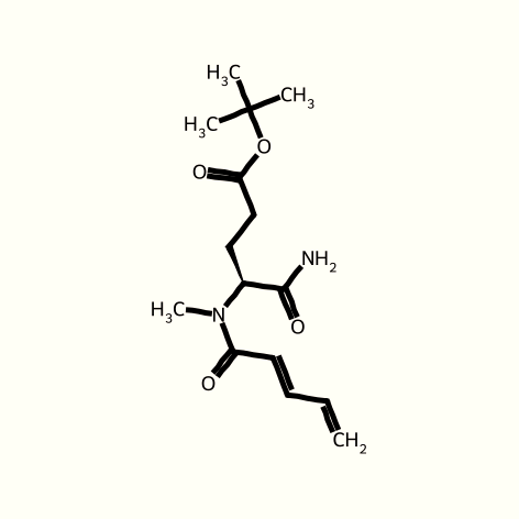 C=C/C=C/C(=O)N(C)[C@@H](CCC(=O)OC(C)(C)C)C(N)=O